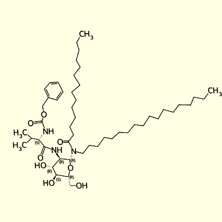 CCCCCCCCCCCCCCCCCCN(C(=O)CCCCCCCCCCCCC)[C@@H]1O[C@H](CO)[C@@H](O)[C@H](O)[C@H]1NC(=O)[C@@H](NC(=O)OCc1ccccc1)C(C)C